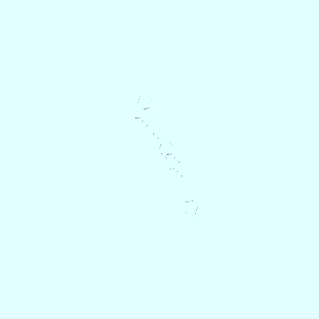 O=C(NCCCc1ccc(F)cc1)Nc1ccc(N2CCN(C(=O)c3ccccc3C(F)(F)F)CC2)cn1